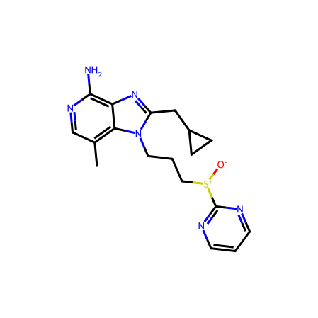 Cc1cnc(N)c2nc(CC3CC3)n(CCC[S+]([O-])c3ncccn3)c12